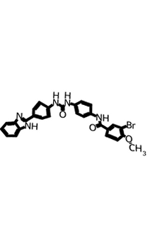 COc1ccc(C(=O)Nc2ccc(NC(=O)Nc3ccc(-c4nc5ccccc5[nH]4)cc3)cc2)cc1Br